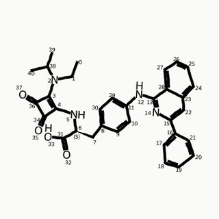 CCN(c1c(N[C@@H](Cc2ccc(Nc3nc(-c4ccccc4)cc4ccccc34)cc2)C(=O)O)c(=O)c1=O)C(C)C